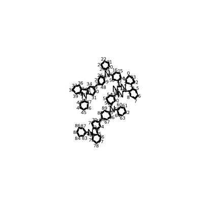 c1ccc(-c2ccccc2-c2nc(-c3cccc(N(c4ccccc4)c4ccc(-c5ccc6c(c5)c5ccccc5n6-c5ccccc5)cc4)c3)nc(-c3cccc(N(c4ccccc4)c4ccc(-c5ccc6c(c5)c5ccccc5n6-c5ccccc5)cc4)c3)n2)cc1